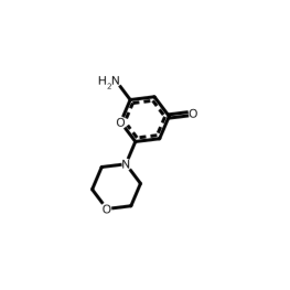 Nc1cc(=O)cc(N2CCOCC2)o1